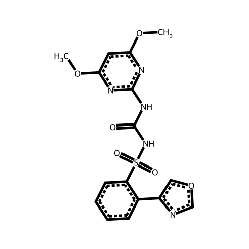 COc1cc(OC)nc(NC(=O)NS(=O)(=O)c2ccccc2-c2cocn2)n1